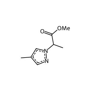 COC(=O)C(C)n1cc(C)cn1